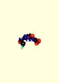 CC(CN1CCC(c2noc3cc(F)ccc23)CC1)OC(=O)Nc1ccc2c(c1)OCO2